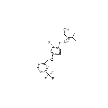 CC(C)[C@H](CO)NCc1ccc(OCc2cccc(C(F)(F)F)c2)cc1F